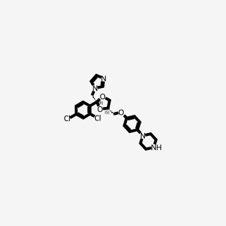 Clc1ccc([C@@]2(Cn3ccnc3)OC[C@H](COc3ccc(N4CCNCC4)cc3)O2)c(Cl)c1